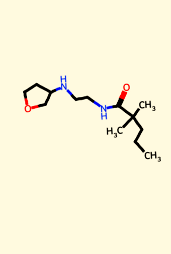 CCCC(C)(C)C(=O)NCCNC1CCOC1